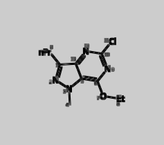 CCCc1nn(C)c2c(OCC)nc(Cl)nc12